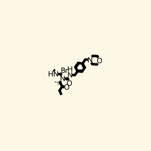 CCC(=O)[C@H](C)N(C(=O)NCc1ccc(CN2CCOCC2)cc1)C(Br)NC